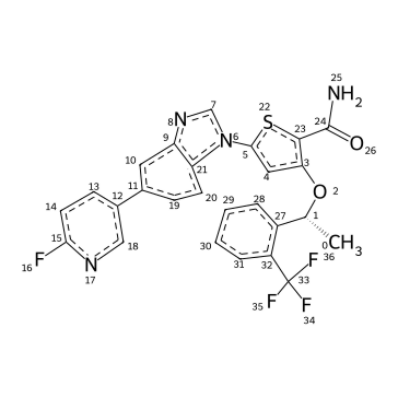 C[C@@H](Oc1cc(-n2cnc3cc(-c4ccc(F)nc4)ccc32)sc1C(N)=O)c1ccccc1C(F)(F)F